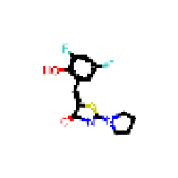 O=C1N=C(N2CCCC2)S/C1=C\c1cc(F)cc(F)c1O